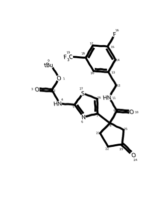 CC(C)(C)OC(=O)Nc1nc(C2(C(=O)NCc3cc(F)cc(C(F)(F)F)c3)CCC(=O)C2)cs1